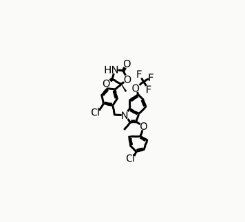 Cc1c(Oc2ccc(Cl)cc2)c2ccc(OC(F)(F)F)cc2n1Cc1cc([C@@]2(C)OC(=O)NC2=O)ccc1Cl